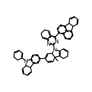 CC12C=CC(c3ccc4c(c3)C3C=CC=CC3N4C3=CC=CCC3)=CC1N(c1nc(-c3ccc4c5c(cccc35)C3C=CC=CC43)c3c(n1)=CCCC=3)C1=C2CCC=C1